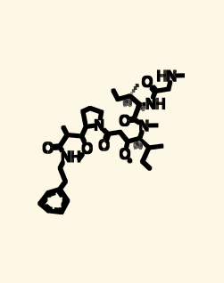 CCC(C)[C@@H](C(CC(=O)N1CCCC1C(OC)C(C)C(=O)NCCc1ccccc1)OC)N(C)C(=O)[C@@H](NC(=O)CNC)[C@@H](C)CC